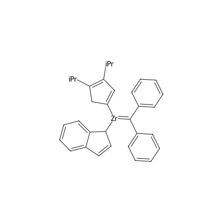 CC(C)C1=C(C(C)C)C[C]([Zr](=[C](c2ccccc2)c2ccccc2)[CH]2C=Cc3ccccc32)=C1